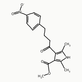 COC(=O)c1c(C)[nH]c(C)c1C(=O)CCCc1ccc([N+](=O)[O-])cc1